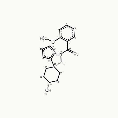 COc1ccccc1C(=O)NC[C@]1(c2cccs2)CC[C@H](O)CC1